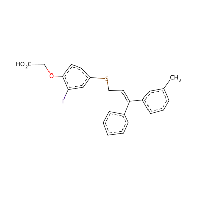 Cc1cccc(C(=CCSc2ccc(OCC(=O)O)c(I)c2)c2ccccc2)c1